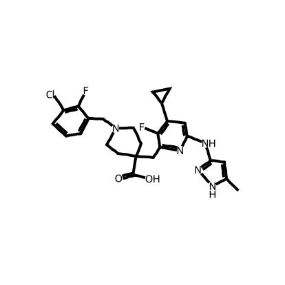 Cc1cc(Nc2cc(C3CC3)c(F)c(CC3(C(=O)O)CCN(Cc4cccc(Cl)c4F)CC3)n2)n[nH]1